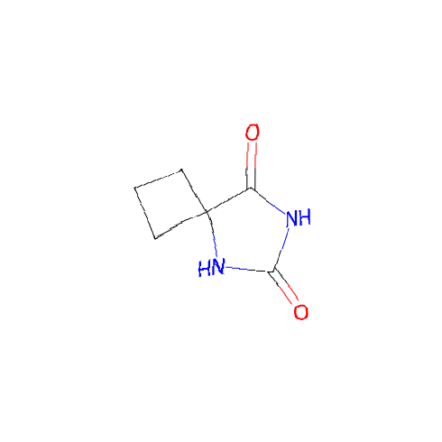 O=C1NC(=O)C2(CCC2)N1